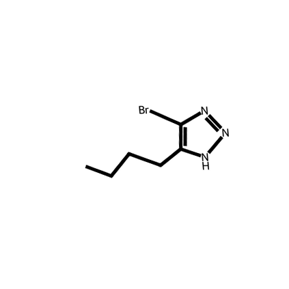 CCCCc1[nH]nnc1Br